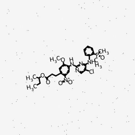 CCC(C)OC(=O)CCc1cc(OC)c(Nc2ncc(Cl)c(Nc3ccccc3P(C)(C)=O)n2)cc1[N+](=O)[O-]